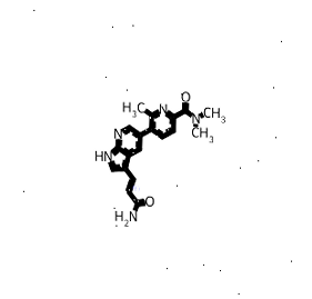 Cc1nc(C(=O)N(C)C)ccc1-c1cnc2[nH]cc(/C=C/C(N)=O)c2c1